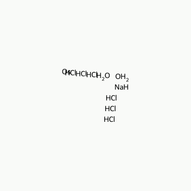 Cl.Cl.Cl.Cl.Cl.Cl.O.O.[NaH].[Os]